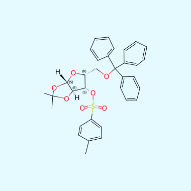 Cc1ccc(S(=O)(=O)O[C@@H]2[C@H]3OC(C)(C)O[C@@H]3O[C@@H]2COC(c2ccccc2)(c2ccccc2)c2ccccc2)cc1